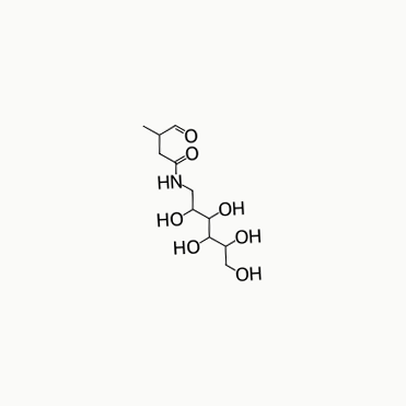 CC(C=O)CC(=O)NCC(O)C(O)C(O)C(O)CO